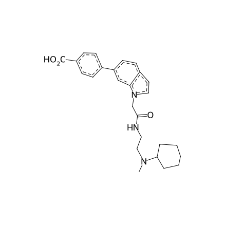 CN(CCNC(=O)Cn1ccc2ccc(-c3ccc(C(=O)O)cc3)cc21)C1CCCCC1